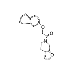 O=C(COc1ccc2ccccc2c1)N1CCc2ccoc2C1